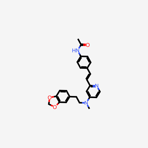 CC(=O)Nc1ccc(/C=C/c2cc(N(C)CCc3ccc4c(c3)OCO4)ccn2)cc1